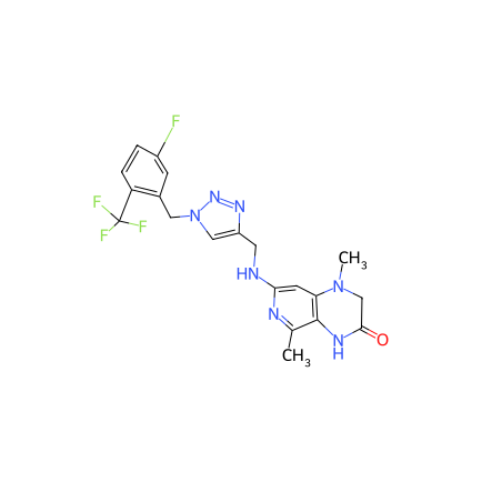 Cc1nc(NCc2cn(Cc3cc(F)ccc3C(F)(F)F)nn2)cc2c1NC(=O)CN2C